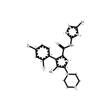 CCc1nnc(NC(=O)c2sc(N3CCOCC3)c(C#N)c2-c2ccc(Cl)cc2Cl)s1